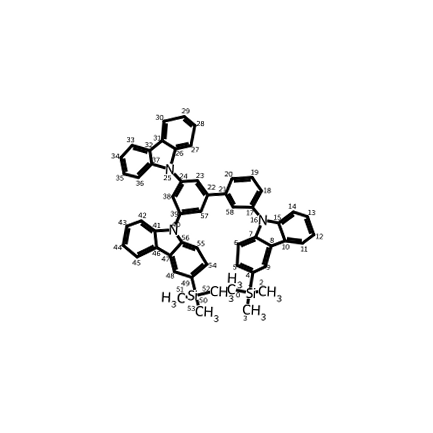 C[Si](C)(C)c1ccc2c(c1)c1ccccc1n2-c1cccc(-c2cc(-n3c4ccccc4c4ccccc43)cc(-n3c4ccccc4c4cc([Si](C)(C)C)ccc43)c2)c1